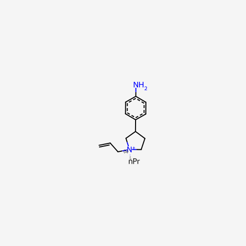 C=CC[N@+]1(CCC)CCC(c2ccc(N)cc2)C1